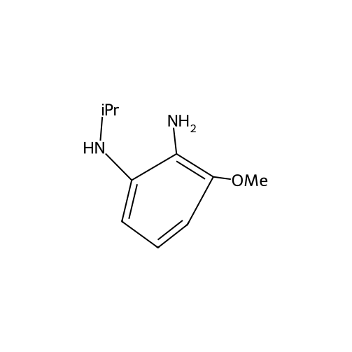 COc1cccc(NC(C)C)c1N